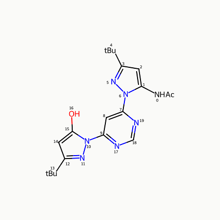 CC(=O)Nc1cc(C(C)(C)C)nn1-c1cc(-n2nc(C(C)(C)C)cc2O)ncn1